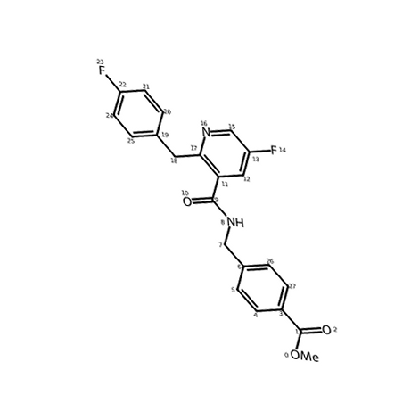 COC(=O)c1ccc(CNC(=O)c2cc(F)cnc2Cc2ccc(F)cc2)cc1